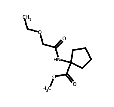 CCOCC(=O)NC1(C(=O)OC)CCCC1